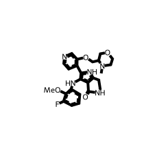 COc1c(F)cccc1Nc1c(-c2ccncc2OCC2COCCN2C)[nH]c2c1C(=O)NCC2